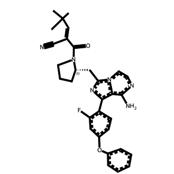 CC(C)(C)C=C(C#N)C(=O)N1CCC[C@H]1Cc1nc(-c2ccc(Oc3ccccc3)cc2F)c2c(N)nccn12